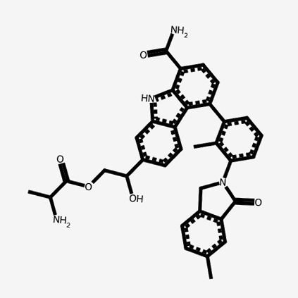 Cc1ccc2c(c1)C(=O)N(c1cccc(-c3ccc(C(N)=O)c4[nH]c5cc(C(O)COC(=O)C(C)N)ccc5c34)c1C)C2